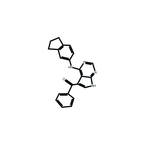 O=C(c1ccccc1)c1c[nH]c2ncnc(Nc3ccc4c(c3)CCC4)c12